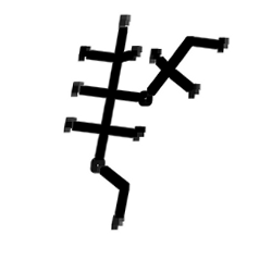 FCOC(F)(F)C(F)(OC(F)(F)CF)C(F)(F)F